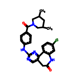 CC1CC(C)CN(C(=O)c2ccc(Nc3ncc4c(n3)-c3ccc(Cl)cc3NC(=O)C4)cc2)C1